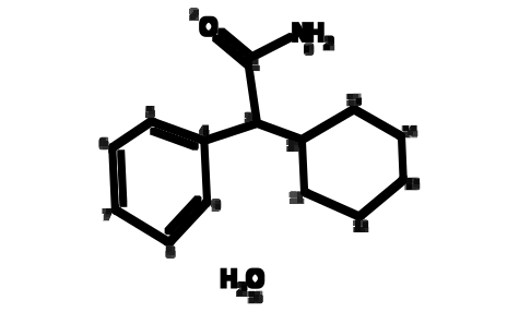 NC(=O)C(c1ccccc1)C1CCCCC1.O